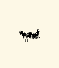 COc1nc(N[C@@H]2CCN(C3COC3)C[C@H]2F)nn2ccc(-c3ccc4ncn(CC(F)F)c4c3)c12